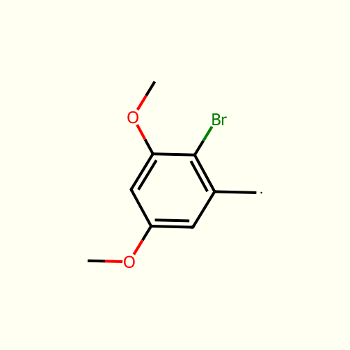 [CH2]c1cc(OC)cc(OC)c1Br